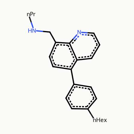 [CH2]CCNCc1ccc(-c2ccc(CCCCCC)cc2)c2cccnc12